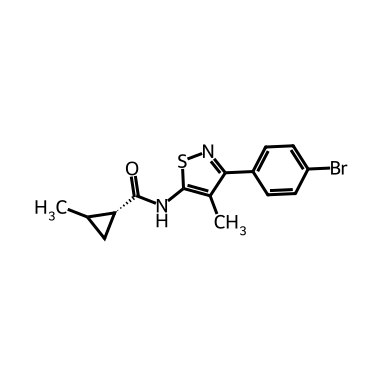 Cc1c(-c2ccc(Br)cc2)nsc1NC(=O)[C@@H]1CC1C